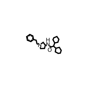 O=C(NC1CCN(CCc2ccccc2)C1)C(C1CCCCC1)C1CCCCC1